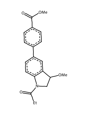 CCC(=O)N1CC(OC)c2cc(-c3ccc(C(=O)OC)cc3)ccc21